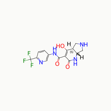 O=C(Nc1ccc(C(F)(F)F)nc1)C1=C(O)[C@H]2CNC[C@@H]2NC1=O